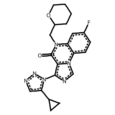 O=c1c2c(-n3nncc3C3CC3)ncn2c2ccc(F)cc2n1CC1CCCCO1